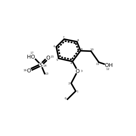 CCCOc1ccccc1CCO.CS(=O)(=O)O